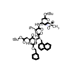 CC(C)[C@H](NC(=O)[C@H](Cc1cccc2ccccc12)NC(=O)[C@H](CC(=O)OC(C)(C)C)NC(=O)OCc1ccccc1)C(=O)N[C@H](/C=C/S(C)(=O)=O)CC(=O)OC(C)(C)C